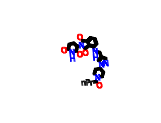 CCCC(=O)N1CCC(n2cc(CNc3cccc4c3C(=O)N(C3CCC(=O)NC3=O)C4=O)cn2)CC1